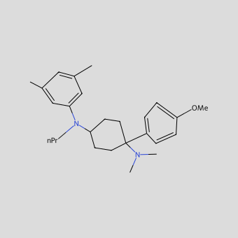 CCCN(c1cc(C)cc(C)c1)C1CCC(c2ccc(OC)cc2)(N(C)C)CC1